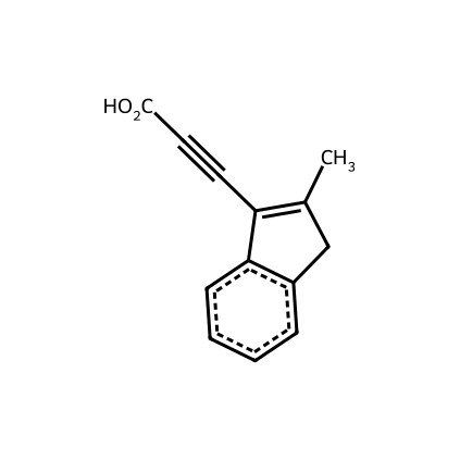 CC1=C(C#CC(=O)O)c2ccccc2C1